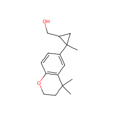 CC1(C)CCOc2ccc(C3(C)CC3CO)cc21